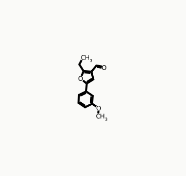 CCc1oc(-c2cccc(OC)c2)cc1C=O